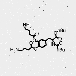 CCCCOC(=O)C(Cc1ccc(OC(=O)CCCN)c(OC(=O)CCCN)c1)NC(=O)CCCC